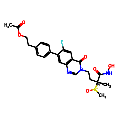 CC(=O)OCCc1ccc(-c2cc3ncn(CC[C@](C)(C(=O)NO)[S+](C)[O-])c(=O)c3cc2F)cc1